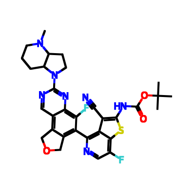 CN1CCCC2C1CCN2c1ncc2c3c(c(-c4ncc(F)c5sc(NC(=O)OC(C)(C)C)c(C#N)c45)c(F)c2n1)COC3